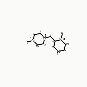 CN1CCN(CC2C[N]CCN2C)CC1